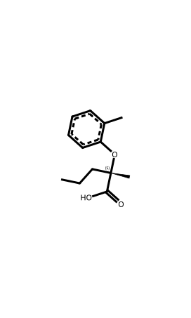 CCC[C@](C)(Oc1ccccc1C)C(=O)O